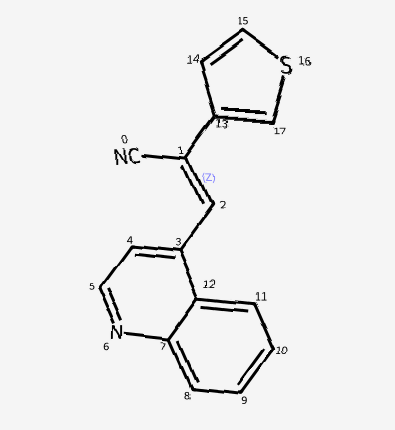 N#C/C(=C\c1ccnc2ccccc12)c1ccsc1